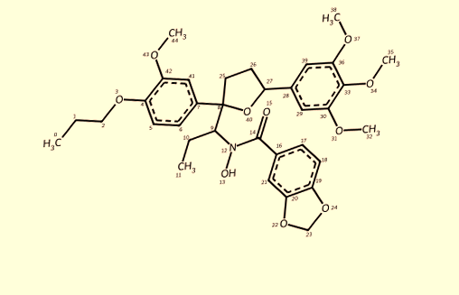 CCCOc1ccc(C2(C(CC)N(O)C(=O)c3ccc4c(c3)OCO4)CCC(c3cc(OC)c(OC)c(OC)c3)O2)cc1OC